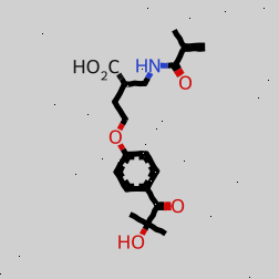 C=C(C)C(=O)NCC(CCOc1ccc(C(=O)C(C)(C)O)cc1)C(=O)O